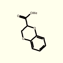 COC(=O)C1COc2ccccc2O1